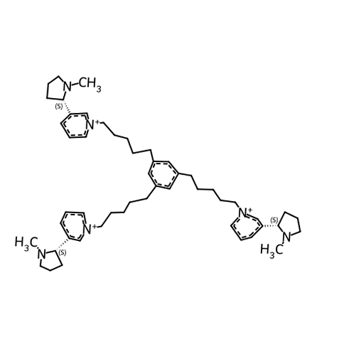 CN1CCC[C@H]1c1ccc[n+](CCCCCc2cc(CCCCC[n+]3cccc([C@@H]4CCCN4C)c3)cc(CCCCC[n+]3cccc([C@@H]4CCCN4C)c3)c2)c1